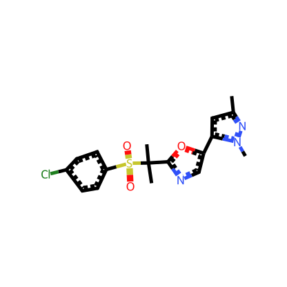 Cc1cc(-c2cnc(C(C)(C)S(=O)(=O)c3ccc(Cl)cc3)o2)n(C)n1